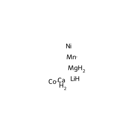 [CaH2].[Co].[LiH].[MgH2].[Mn].[Ni]